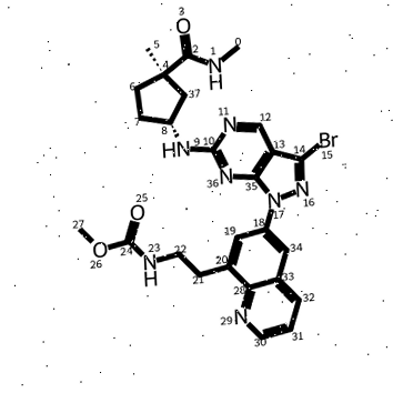 CNC(=O)[C@]1(C)CC[C@@H](Nc2ncc3c(Br)nn(-c4cc(CCNC(=O)OC)c5ncccc5c4)c3n2)C1